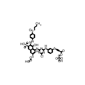 CCCC[S+]([O-])c1ccc(N=Nc2c(S(=O)(=O)O)cc3cc(SOOO)cc(Nc4nc(Cl)nc(Nc5cccc(SC#CC(=O)OOS(=O)(=O)O)c5)n4)c3c2O)cc1